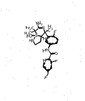 CC1(C)C(N)=N[C@](C)(c2cc(NC(=O)c3ncc(F)cc3F)ccc2F)[C@@H]2CCNS21O